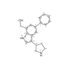 OCc1cc(-c2ccccc2)cc2c(C3CCNC3)c[nH]c12